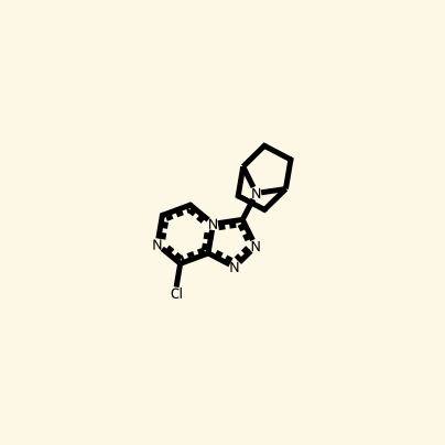 Clc1nccn2c(N3C4CCC3CC4)nnc12